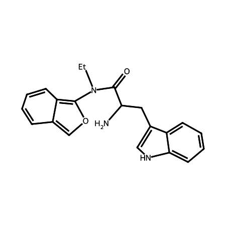 CCN(C(=O)C(N)Cc1c[nH]c2ccccc12)c1occ2ccccc12